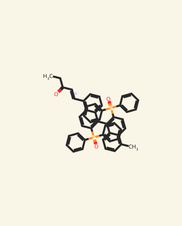 CCC(=O)/C=C/c1cccc2c(-c3c(P(=O)(c4ccccc4)c4ccccc4)ccc4c(C)cccc34)c(P(=O)(c3ccccc3)c3ccccc3)ccc12